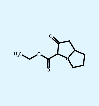 CCOC(=O)C1C(=O)CC2CCCN21